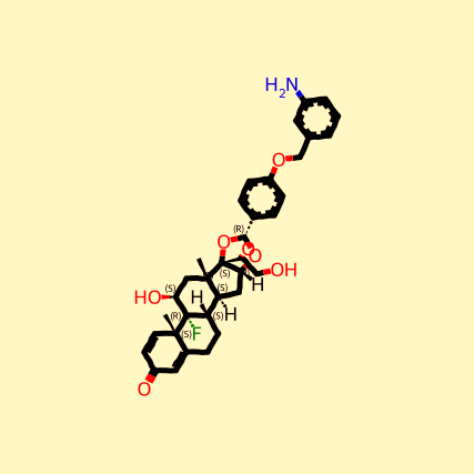 C[C@]12C=CC(=O)C=C1CC[C@H]1[C@@H]3C[C@H]4O[C@@H](c5ccc(OCc6cccc(N)c6)cc5)O[C@@]4(C(=O)CO)[C@@]3(C)C[C@H](O)[C@@]12F